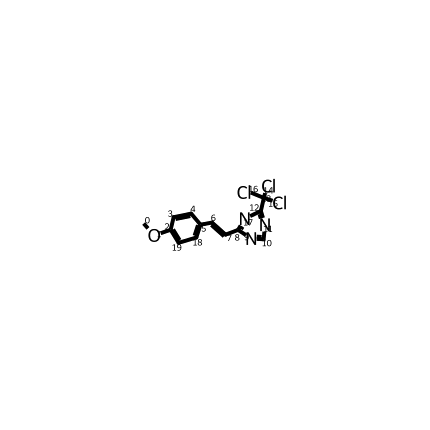 COc1ccc(C=Cc2ncnc(C(Cl)(Cl)Cl)n2)cc1